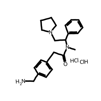 CN(C(=O)Cc1ccc(CN)cc1)C(CN1CCCC1)c1ccccc1.Cl.Cl